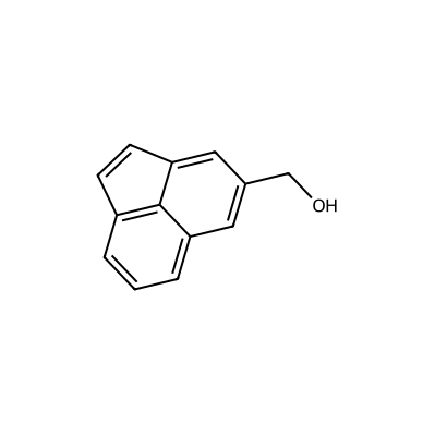 OCc1cc2c3c(cccc3c1)C=C2